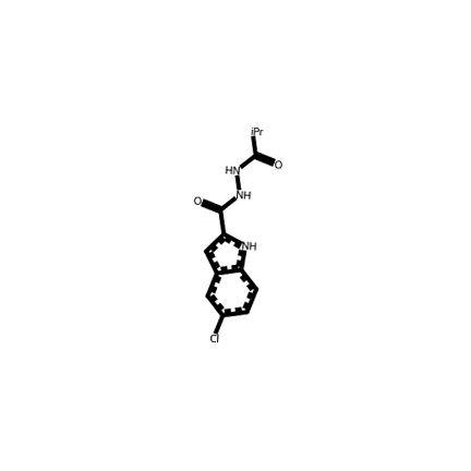 CC(C)C(=O)NNC(=O)c1cc2cc(Cl)ccc2[nH]1